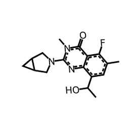 Cc1cc(C(C)O)c2nc(N3CC4CC4C3)n(C)c(=O)c2c1F